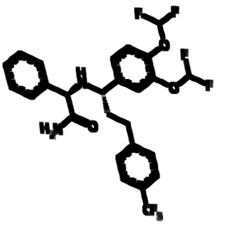 NC(=O)[C@H](N[C@@H](CCc1ccc(C(F)(F)F)cc1)c1ccc(OC(F)F)c(OC(F)F)c1)c1ccccc1